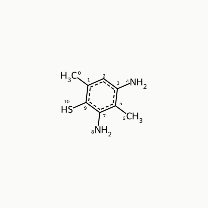 Cc1cc(N)c(C)c(N)c1S